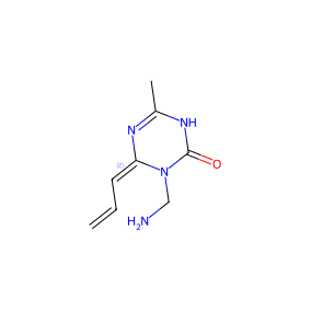 C=C/C=C1/N=C(C)NC(=O)N1CN